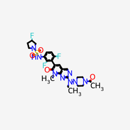 CCN(c1ncc2cc(-c3c(F)ccc(NS(=O)(=O)N4CC[C@@H](F)C4)c3F)c(=O)n(C)c2n1)N1CCN(C(C)=O)CC1